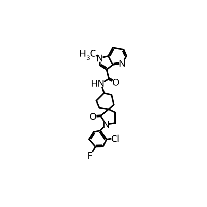 Cn1cc(C(=O)NC2CCC3(CC2)CCN(c2ccc(F)cc2Cl)C3=O)c2ncccc21